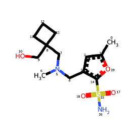 Cc1cc(CN(C)CC2(CO)CCC2)c(S(N)(=O)=O)o1